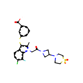 Cc1c(Sc2cccc(C(=O)O)c2)c2ccc(Cl)c(F)c2n1CC(=O)N1CC(N2CCS(=O)(=O)CC2)C1